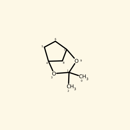 CC1(C)OC2CCC(C2)O1